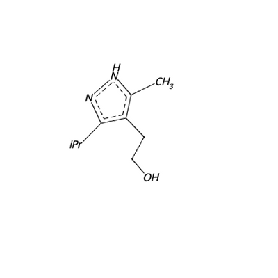 Cc1[nH]nc(C(C)C)c1CCO